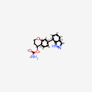 NC(=O)OC1CCOc2cc(-c3cccc4cn[nH]c34)ccc21